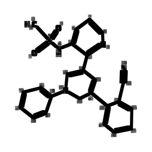 CS(=O)(=O)Nc1cccnc1C1=CN(c2ccccc2)CC(c2ccccc2C#N)=C1